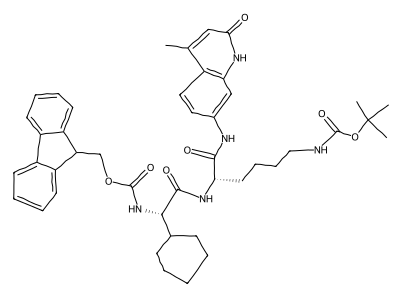 Cc1cc(=O)[nH]c2cc(NC(=O)[C@H](CCCCNC(=O)OC(C)(C)C)NC(=O)[C@@H](NC(=O)OCC3c4ccccc4-c4ccccc43)C3CCCCC3)ccc12